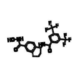 O=C(NO)c1ccc2c(c1)CCCC2NC(=O)c1cc(C(F)(F)F)cc(C(F)(F)F)c1